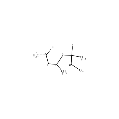 CC(I)CC(C)CC(C)(I)C[O]